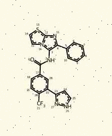 O=C(Nc1c(-c2ccccc2)nc2sccn12)c1ccc(C(F)(F)F)c(-c2cc[nH]n2)c1